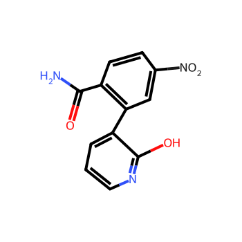 NC(=O)c1ccc([N+](=O)[O-])cc1-c1cccnc1O